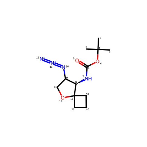 CC(C)(C)OC(=O)N[C@@H]1C(N=[N+]=[N-])COC12CCC2